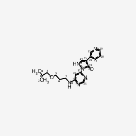 CC(C)COCCCNc1cc(-n2[nH]cc(-c3cccnc3)c2=O)ncn1